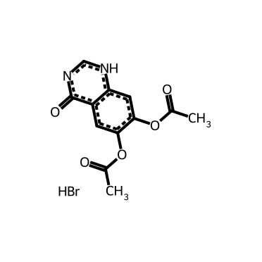 Br.CC(=O)Oc1cc2[nH]cnc(=O)c2cc1OC(C)=O